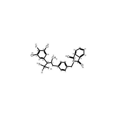 CC(Cc1ccc(CN2C(=O)c3ccccc3C2=O)cc1)C(c1cc(Cl)c(F)c(Cl)c1)C(F)(F)F